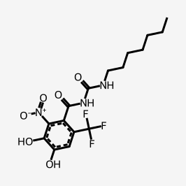 CCCCCCCNC(=O)NC(=O)c1c(C(F)(F)F)cc(O)c(O)c1[N+](=O)[O-]